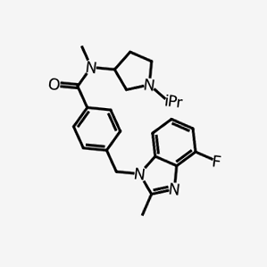 Cc1nc2c(F)cccc2n1Cc1ccc(C(=O)N(C)C2CCN(C(C)C)C2)cc1